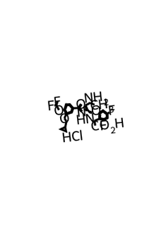 CC(N)c1oc(-c2ccc(OC(F)F)c(OCC3CC3)c2)nc1C(=O)NC(C(=O)O)c1ccc(F)cc1F.Cl